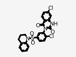 O=c1[nH]c2cc(Cl)ccc2c(=O)n1-c1cc(S(=O)(=O)N2CCCc3ccccc32)ccc1Cl